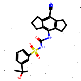 CC(C)(O)c1cccc(S(=O)(=O)NC(=O)Nc2c3c(c(C#N)c4c2CCC4)CCC3)c1